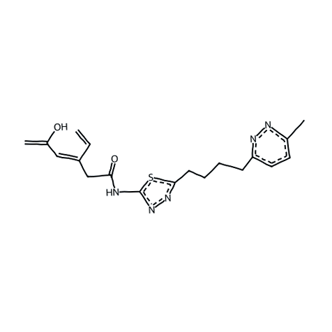 C=C/C(=C\C(=C)O)CC(=O)Nc1nnc(CCCCc2ccc(C)nn2)s1